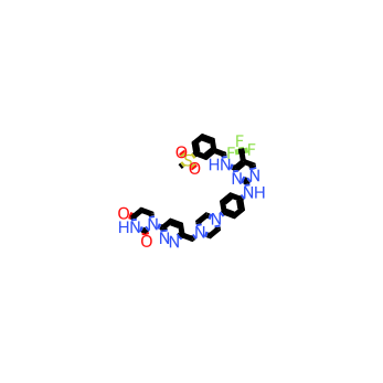 CS(=O)(=O)c1cccc(CNc2nc(Nc3ccc(N4CCN(Cc5ccc(N6CCC(=O)NC6=O)nn5)CC4)cc3)ncc2C(F)(F)F)c1